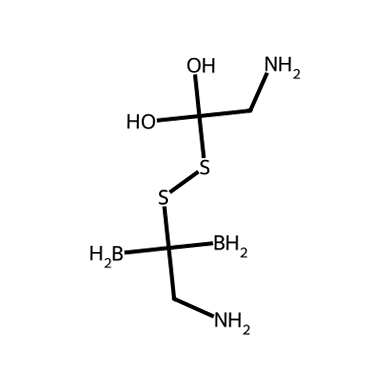 BC(B)(CN)SSC(O)(O)CN